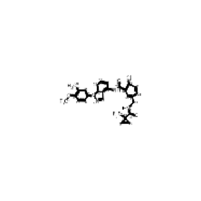 Cc1cc(-n2ncc3c(NC(=O)c4cc(CNC(=O)C5(C(F)(F)F)CC5)ccc4Cl)cccc32)ccc1OC(F)(F)F